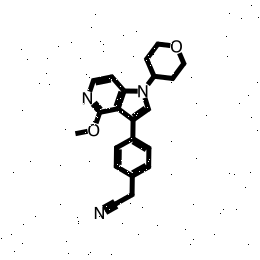 COc1nccc2c1c(-c1ccc(CC#N)cc1)cn2C1CCOCC1